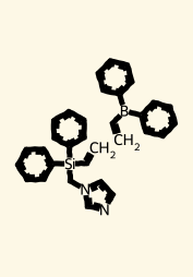 C=CB(c1ccccc1)c1ccccc1.C=C[Si](Cn1ccnc1)(c1ccccc1)c1ccccc1